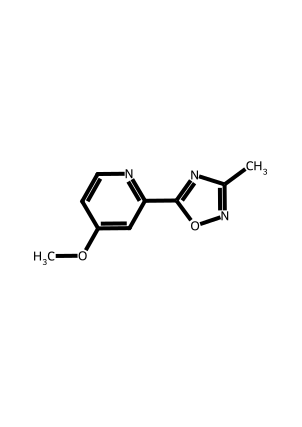 COc1ccnc(-c2nc(C)no2)c1